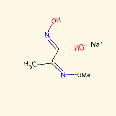 CON=C(C)C=NO.[Na+].[OH-]